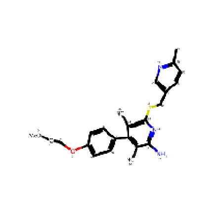 COCCOc1ccc(-c2c(C#N)c(N)nc(SCc3ccc(C)nc3)c2C#N)cc1